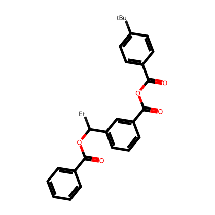 CCC(OC(=O)c1ccccc1)c1cccc(C(=O)OC(=O)c2ccc(C(C)(C)C)cc2)c1